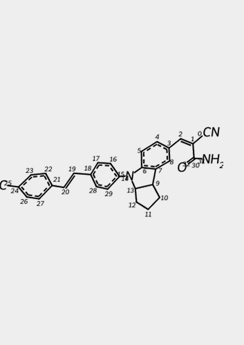 N#CC(=Cc1ccc2c(c1)C1CCCC1N2c1ccc(/C=C/c2ccc(C(=O)O)cc2)cc1)C(N)=O